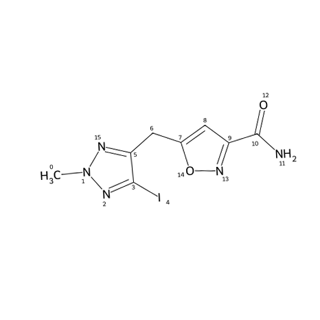 Cn1nc(I)c(Cc2cc(C(N)=O)no2)n1